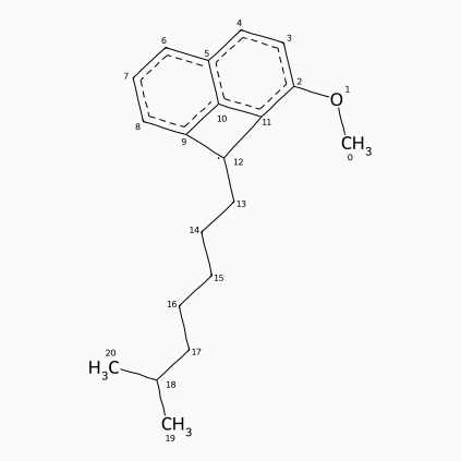 COc1ccc2cccc3c2c1[C]3CCCCCC(C)C